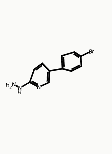 NNc1ccc(-c2ccc(Br)cc2)cn1